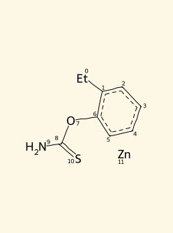 CCc1ccccc1OC(N)=S.[Zn]